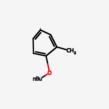 CCCCOc1cc[c]cc1C